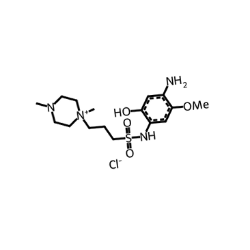 COc1cc(NS(=O)(=O)CCC[N+]2(C)CCN(C)CC2)c(O)cc1N.[Cl-]